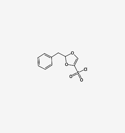 O=S(=O)(Cl)C1=COC(Cc2ccccc2)O1